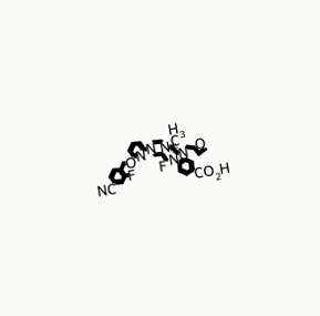 C[C@@H](c1nc2ccc(C(=O)O)cc2n1CC1CCO1)N1CCN(c2cccc(OCc3ccc(C#N)cc3F)n2)CC1CF